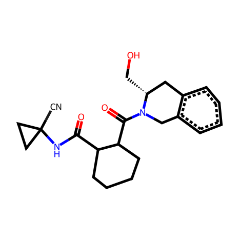 N#CC1(NC(=O)C2CCCCC2C(=O)N2Cc3ccccc3C[C@H]2CO)CC1